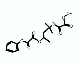 CC(CC(C)(C)OC(=O)C(=O)OO)OC(=O)C(=O)Oc1ccccc1